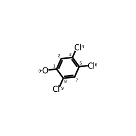 [O]c1cc(Cl)c(Cl)cc1Cl